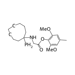 COc1cc(C)cc(OC)c1OC(=O)CNC1(P)CCCCCCCC1